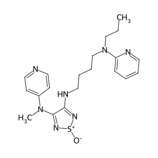 CCCN(CCCCNc1n[s+]([O-])nc1N(C)c1ccncc1)c1ccccn1